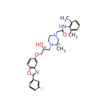 Cc1cccc(C)c1NC(=O)CN1CCN(C[C@H](O)COc2ccc3oc(-c4cccc(F)c4)nc3c2)[C@@H](C)C1